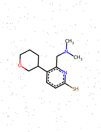 CN(C)Cc1nc(S)ccc1C1CCCOC1